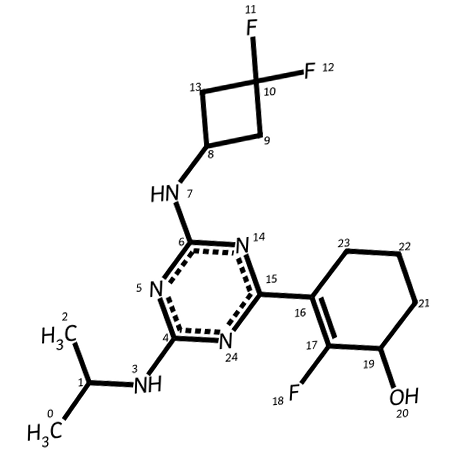 CC(C)Nc1nc(NC2CC(F)(F)C2)nc(C2=C(F)C(O)CCC2)n1